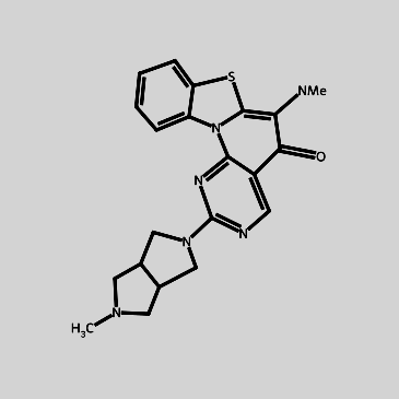 CNc1c(=O)c2cnc(N3CC4CN(C)CC4C3)nc2n2c1sc1ccccc12